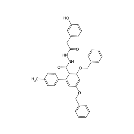 Cc1ccc(-c2cc(OCc3ccccc3)cc(OCc3ccccc3)c2C(=O)NNC(=O)Cc2cccc(O)c2)cc1